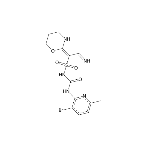 Cc1ccc(Br)c(NC(=O)NS(=O)(=O)/C(C=N)=C2/NCCCO2)n1